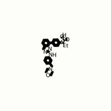 CCN(c1ccc(-c2cccc3cnc(Nc4cccc(CN5CCOCC5)c4)nc23)cc1)[SH](=O)=O